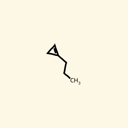 CCCC1=[C]C1